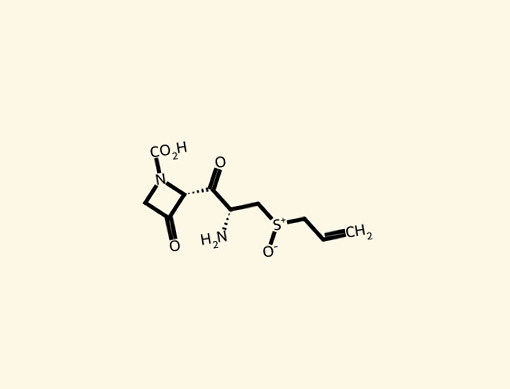 C=CC[S+]([O-])C[C@H](N)C(=O)[C@@H]1C(=O)CN1C(=O)O